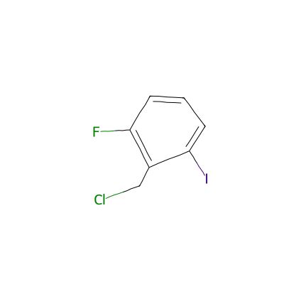 Fc1cccc(I)c1CCl